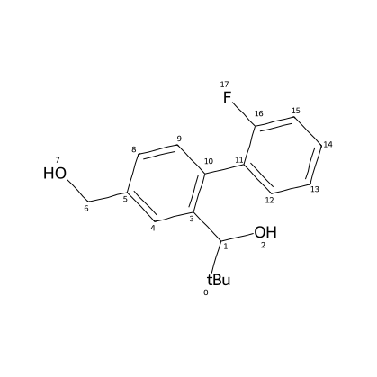 CC(C)(C)C(O)c1cc(CO)ccc1-c1ccccc1F